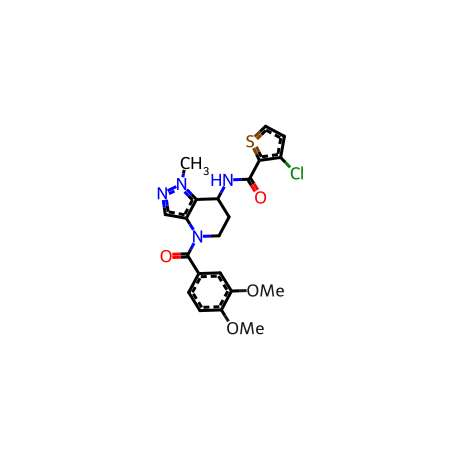 COc1ccc(C(=O)N2CCC(NC(=O)c3sccc3Cl)c3c2cnn3C)cc1OC